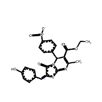 CCOC(=O)C1=C(C)N=c2s/c(=C/c3ccc(O)cc3)c(=O)n2C1c1ccc([N+](=O)[O-])cc1